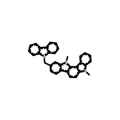 Cn1c2ccccc2c2c1ccc1c3ccc(Cn4c5ccccc5c5ccccc54)cc3n(C)c12